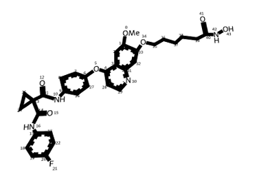 COc1cc2c(Oc3ccc(NC(=O)C4(C(=O)Nc5ccc(F)cc5)CC4)cc3)ccnc2cc1OCCCCCC(=O)NO